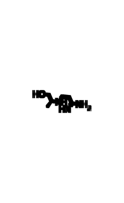 C[C@@H](CO)N/C=C\C(=N)N